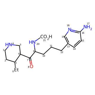 CCC1CCNCC1C(=O)C(CCCc1ccc(N)nc1)NC(=O)O